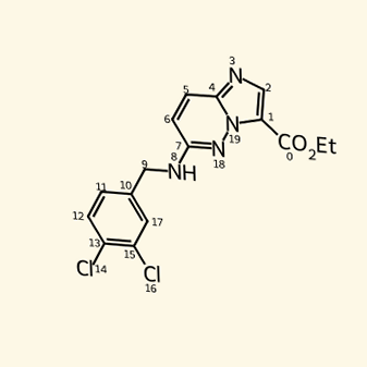 CCOC(=O)c1cnc2ccc(NCc3ccc(Cl)c(Cl)c3)nn12